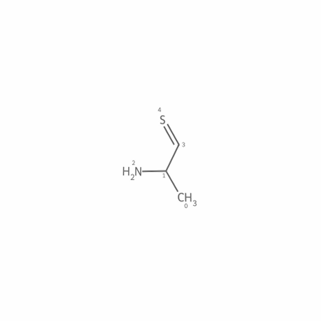 CC(N)C=S